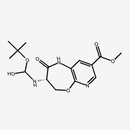 COC(=O)c1cnc2c(c1)NC(=O)[C@@H](NC(O)OC(C)(C)C)CO2